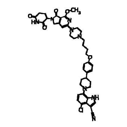 COc1nc(N2CCN(CCCCOc3ccc(C4CCN(c5ccc(Cl)c6c(C#N)c[nH]c56)CC4)cc3)CC2)cc2c1C(=O)N(C1CCC(=O)NC1=O)C2